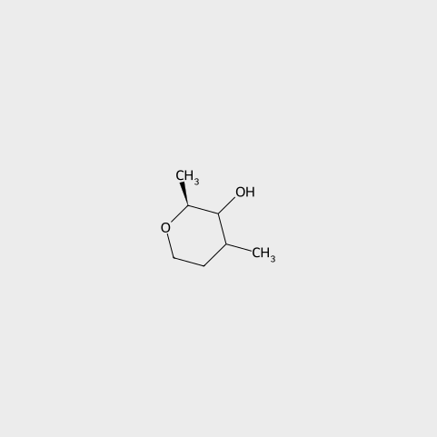 CC1CCO[C@@H](C)C1O